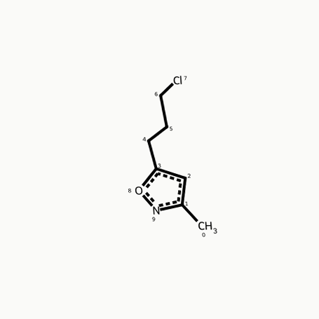 Cc1cc(CCCCl)on1